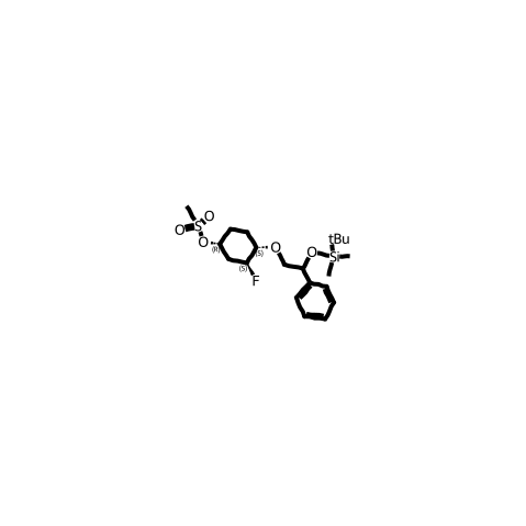 CC(C)(C)[Si](C)(C)OC(CO[C@H]1CC[C@@H](OS(C)(=O)=O)C[C@@H]1F)c1ccccc1